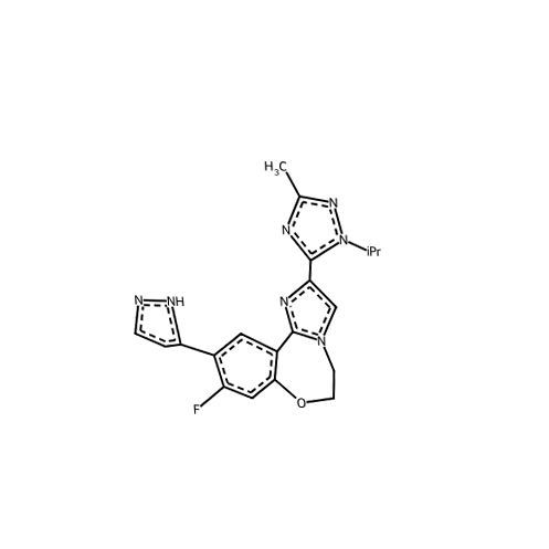 Cc1nc(-c2cn3c(n2)-c2cc(-c4ccn[nH]4)c(F)cc2OCC3)n(C(C)C)n1